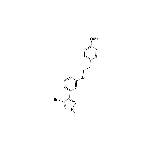 COc1ccc(CC[N]c2cccc(-c3nn(C)cc3Br)c2)cc1